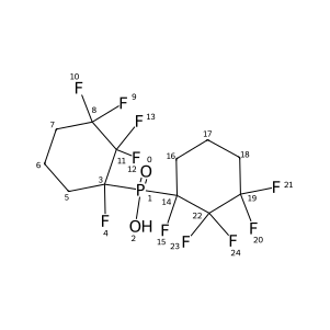 O=P(O)(C1(F)CCCC(F)(F)C1(F)F)C1(F)CCCC(F)(F)C1(F)F